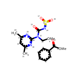 COC(=O)c1ccccc1.COCN(C(=O)N=S(=O)=O)c1nc(C)cc(C)n1